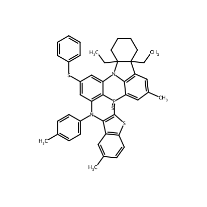 CCC12CCCCC1(CC)N1c3cc(Sc4ccccc4)cc4c3P(=S)(c3cc(C)cc2c31)c1sc2ccc(C)cc2c1N4c1ccc(C)cc1